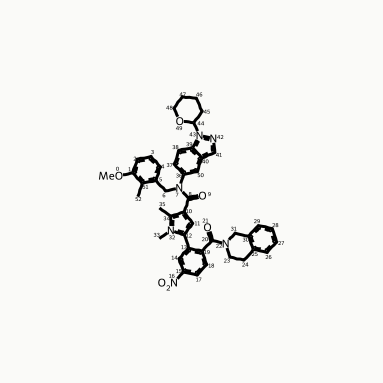 COc1cccc(CN(C(=O)c2cc(-c3cc([N+](=O)[O-])ccc3C(=O)N3CCc4ccccc4C3)n(C)c2C)c2ccc3c(cnn3C3CCCCO3)c2)c1C